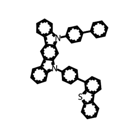 c1ccc(-c2ccc(-n3c4ccccc4c4cc5c6ccccc6n(-c6ccc(-c7cccc8c7sc7ccccc78)cc6)c5cc43)cc2)cc1